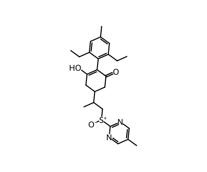 CCc1cc(C)cc(CC)c1C1=C(O)CC(C(C)C[S+]([O-])c2ncc(C)cn2)CC1=O